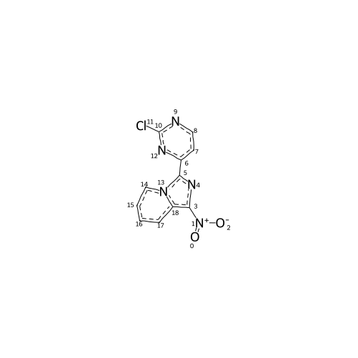 O=[N+]([O-])c1nc(-c2ccnc(Cl)n2)n2ccccc12